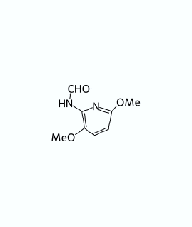 COc1ccc(OC)c(N[C]=O)n1